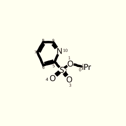 CC(C)OS(=O)(=O)c1ccccn1